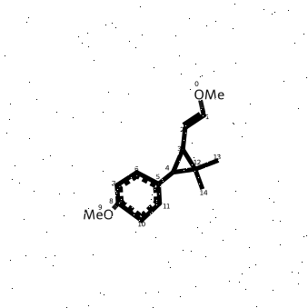 COC=CC1C(c2ccc(OC)cc2)C1(C)C